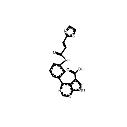 O=C(/C=C/c1nccs1)Nc1cccc(-c2ncnc3[nH]cc(C(=O)O)c23)c1